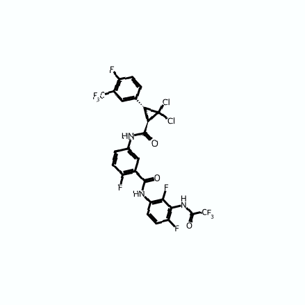 O=C(Nc1ccc(F)c(NC(=O)C(F)(F)F)c1F)c1cc(NC(=O)[C@H]2[C@H](c3ccc(F)c(C(F)(F)F)c3)C2(Cl)Cl)ccc1F